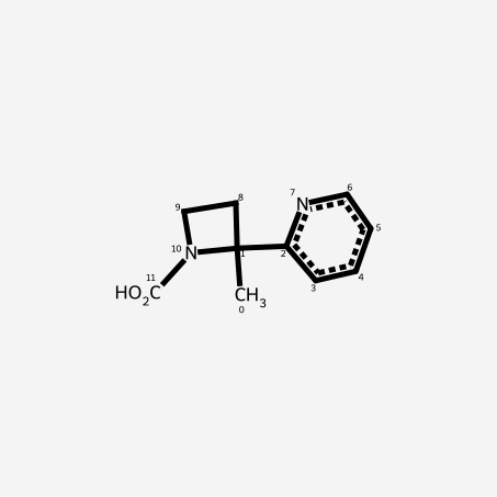 CC1(c2ccccn2)CCN1C(=O)O